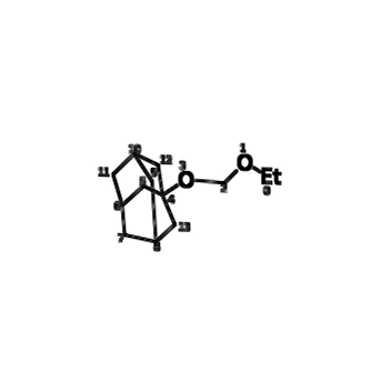 [CH2]COCOC12CC3CC(CC(C3)C1)C2